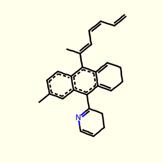 C=C/C=C\C=C(/C)c1c2c(c(C3=NC=CCC3)c3cc(C)ccc13)=CCCC=2